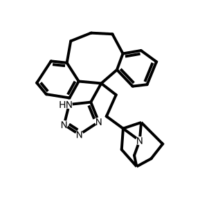 c1ccc2c(c1)CCCc1ccccc1C2(CCN1CC2CCC1CC2)c1nnn[nH]1